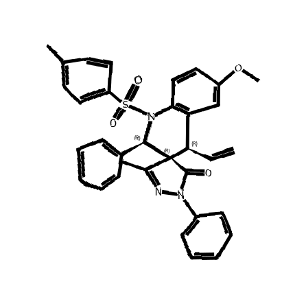 C=C[C@@H]1c2cc(OC)ccc2N(S(=O)(=O)c2ccc(C)cc2)[C@H](c2ccccc2)[C@]12C(=O)N(c1ccccc1)N=C2C